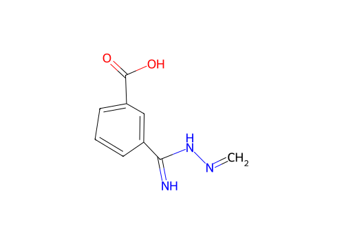 C=NNC(=N)c1cccc(C(=O)O)c1